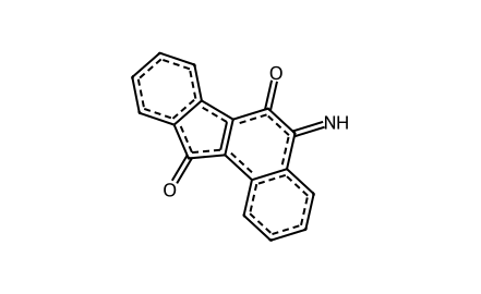 N=c1c(=O)c2c3ccccc3c(=O)c=2c2ccccc12